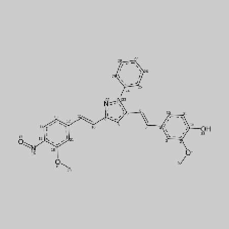 COc1cc(/C=C/c2cc(/C=C/c3ccc(N=O)c(OC)c3)nn2-c2ccccc2)ccc1O